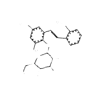 COc1cc(/C=C/c2ccccc2OC)c(O[C@@H]2O[C@H](CO)[C@@H](O)[C@H](O)[C@H]2O)c(OC)c1